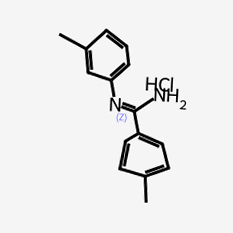 Cc1ccc(/C(N)=N/c2cccc(C)c2)cc1.Cl